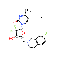 Cc1ccn([C@@H]2O[C@H](CN3CCc4ccc(F)cc4C3)[C@@H](O)C2(F)F)c(=O)n1